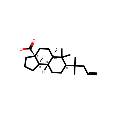 C=CCC(C)(C)[C@H]1CC[C@@H]2[C@H]3CCC[C@]3(C(=O)O)CC[C@@]2(C)C1(C)C